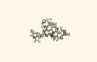 Cc1nc2[nH]nc(I)c2c(-c2nccc3c4c(N5CCOC[C@@](C)(O)C5)nc(OC[C@@]56CCCN5C[C@H](F)C6)nc4n(C)c23)c1C(F)(F)F